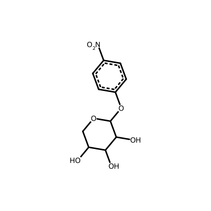 O=[N+]([O-])c1ccc(OC2OCC(O)C(O)C2O)cc1